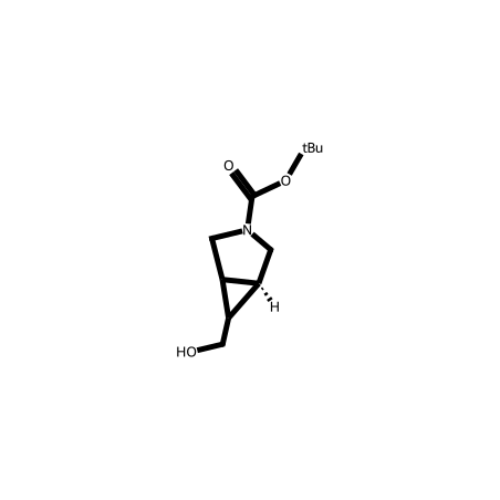 CC(C)(C)OC(=O)N1CC2C(CO)[C@@H]2C1